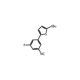 [C-]#[N+]c1cc(F)cc(-c2ccc(C(C)(C)C)s2)c1